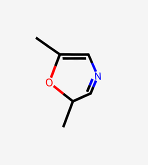 CC1=CN=CC(C)O1